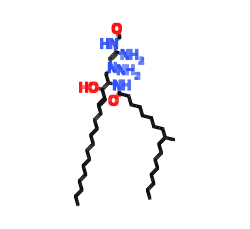 CCCCCCCCCCCCC/C=C/[C@@H](O)C(CN(N)/C=C(\N)NC=O)NC(=O)CCCCCCCC(C)CCCCCCCC